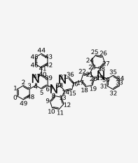 c1ccc(-c2cc(-n3c4ccccc4c4cc(-c5ccc6c(c5)c5ccccc5n6-c5ccccc5)cnc43)cc(-c3ccccc3)n2)cc1